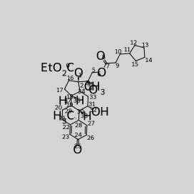 CCOC(=O)O[C@]1(C(=O)COC(=O)CCC2CCCC2)CC[C@H]2[C@@H]3CCC4=CC(=O)C=C[C@]4(C)[C@H]3C(O)C[C@@]21C